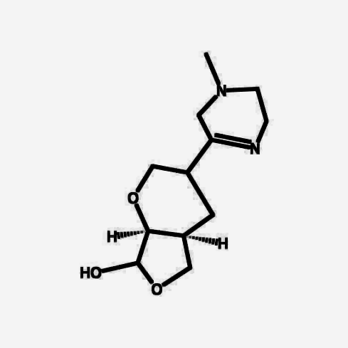 CN1CCN=C(C2CO[C@@H]3C(O)OC[C@@H]3C2)C1